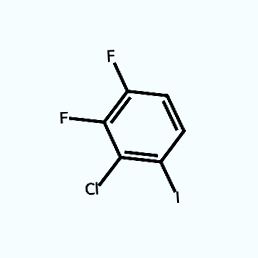 Fc1ccc(I)c(Cl)c1F